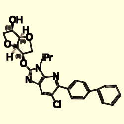 CC(C)n1c(O[C@@H]2CO[C@H]3[C@@H]2OC[C@H]3O)nc2cc(Cl)c(-c3ccc(-c4ccccc4)cc3)nc21